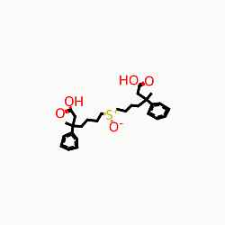 CC(CCCC[S+]([O-])CCCCC(C)(CC(=O)O)c1ccccc1)(CC(=O)O)c1ccccc1